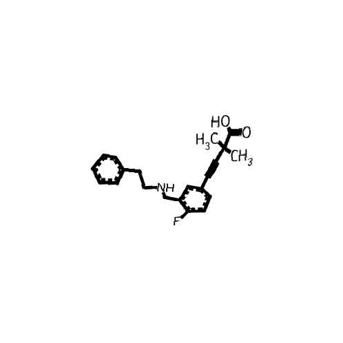 CC(C)(C#Cc1ccc(F)c(CNCCc2ccccc2)c1)C(=O)O